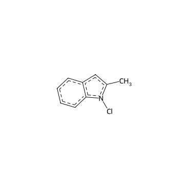 Cc1cc2ccccc2n1Cl